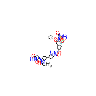 Cn1c(=O)n(C2CCC(=O)NC2=O)c2ccc(-c3ccc(CNC(=O)c4ccc5c(F)c(N6CC(=O)NS6(=O)=O)c(OCc6ccccc6)cc5c4)cc3)cc21